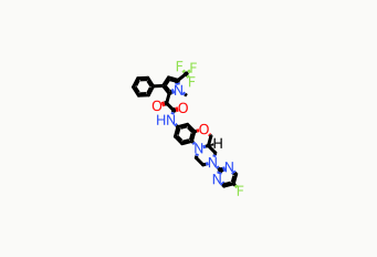 Cn1c(C(F)(F)F)cc(-c2ccccc2)c1C(=O)C(=O)Nc1ccc2c(c1)OC[C@@H]1CN(c3ncc(F)cn3)CCN21